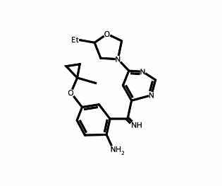 CCC1CN(c2cc(C(=N)c3cc(OC4(C)CC4)ccc3N)ncn2)CO1